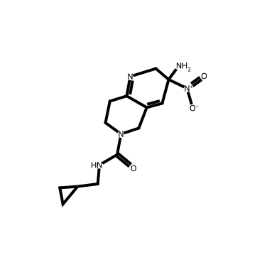 NC1([N+](=O)[O-])C=C2CN(C(=O)NCC3CC3)CCC2=NC1